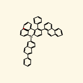 c1ccc(-c2ccc3cc(N(c4ccccc4)c4ccc(-c5cccc6c5ccc5ccccc56)c(-c5ccccc5)c4-c4ccccc4)ccc3c2)cc1